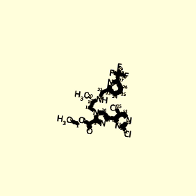 CCOC(=O)c1nc(-c2nc(Cl)ncc2Cl)cn1C[C@H](C)NCc1cccc(C(F)(F)F)n1